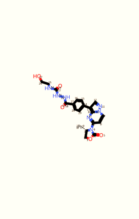 CC(C)[C@H]1COC(=O)N1c1ccn2ncc(-c3ccc(C(=O)NNC(=O)NCCO)cc3)c2n1